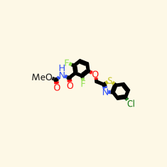 COC(=O)NC(=O)c1c(F)ccc(OCc2nc3cc(Cl)ccc3s2)c1F